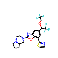 CCN(CC1CCCN1)c1nc2cc(C(OCC(F)(F)F)C(F)(F)F)cc(-c3nccs3)c2o1